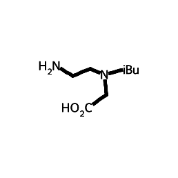 CCC(C)N(CCN)CC(=O)O